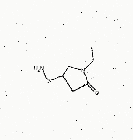 CCN1CC(SN)CC1=O